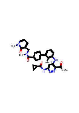 CNC(=O)c1nnc(NC(=O)C2CC2)cc1Nc1cccc(-c2ccc(C(=O)N(C)Cc3cccn(C)c3=O)cc2)c1OC